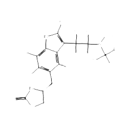 [2H]c1[nH]c2c([2H])c([2H])c(C[C@H]3COC(=O)N3)c([2H])c2c1C([2H])([2H])C([2H])([2H])N(C)C([2H])([2H])[2H]